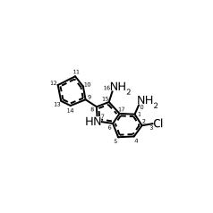 Nc1c(Cl)ccc2[nH]c(-c3ccccc3)c(N)c12